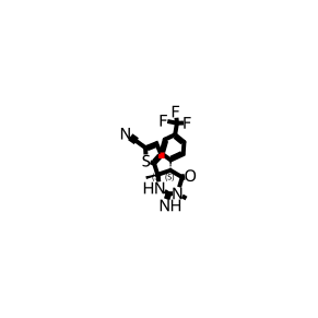 CN1C(=N)N[C@](C)(c2ccc(C#N)s2)[C@H](c2ccc(C(F)(F)F)cc2)C1=O